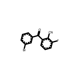 N#Cc1c(F)cccc1C(=O)c1cccc(Br)c1